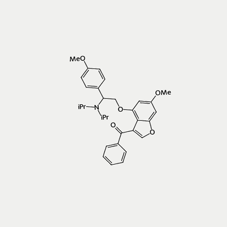 COc1ccc(C(COc2cc(OC)cc3occ(C(=O)c4ccccc4)c23)N(C(C)C)C(C)C)cc1